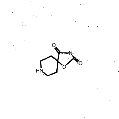 O=C1[N]C(=O)C2(CCNCC2)O1